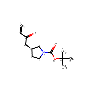 C=CC(=O)C[C@@H]1CCN(C(=O)OC(C)(C)C)C1